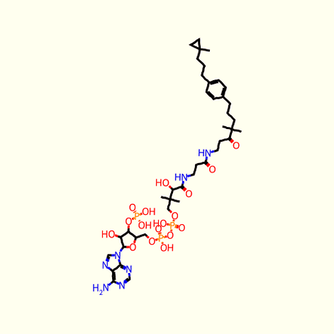 CC1(CCCc2ccc(CCCC(C)(C)C(=O)CCNC(=O)CCNC(=O)C(O)C(C)(C)COP(=O)(O)OP(=O)(O)OCC3OC(n4cnc5c(N)ncnc54)C(O)C3OP(=O)(O)O)cc2)CC1